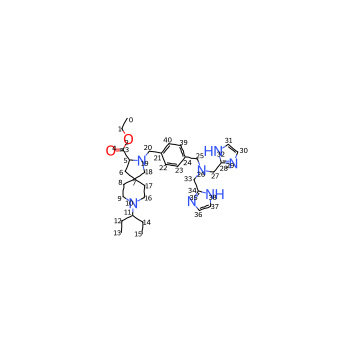 CCOC(=O)C1CC2(CCN(C(CC)CC)CC2)CN1Cc1ccc(CN(Cc2ncc[nH]2)Cc2ncc[nH]2)cc1